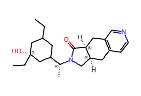 CCC1CC([C@@H](C)N2C[C@@H]3Cc4ccncc4C[C@@H]3C2=O)C[C@@](O)(CC)C1